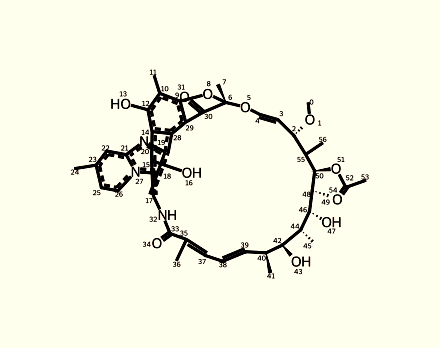 CO[C@H]1/C=C/O[C@@]2(C)Oc3c(C)c(O)c4c(O)c(c5c(nc6cc(C)ccn65)c4c3C2=O)NC(=O)/C(C)=C\C=C\[C@H](C)[C@H](O)[C@@H](C)[C@@H](O)[C@@H](C)[C@H](OC(C)=O)C1C